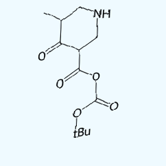 CC1CNCC(C(=O)OC(=O)OC(C)(C)C)C1=O